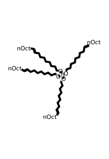 CCCCCCCCC=CCCCCCCCC[O][Ti]([O]CCCCCCCCC=CCCCCCCCC)([O]CCCCCCCCC=CCCCCCCCC)[O]CCCCCCCCC=CCCCCCCCC